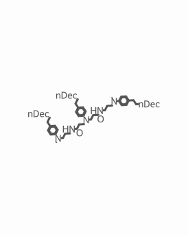 CCCCCCCCCCCCc1ccc(N(C)CCCNC(=O)CCN(CCC(=O)NCCCN(C)c2ccc(CCCCCCCCCCCC)cc2)c2ccc(CCCCCCCCCCCC)cc2)cc1